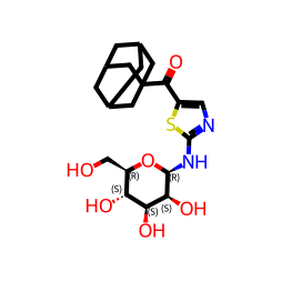 O=C(c1cnc(N[C@@H]2O[C@H](CO)[C@@H](O)[C@H](O)[C@@H]2O)s1)C12CC3CC(CC(C3)C1)C2